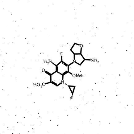 COc1c(N2CC(N)C3OCCC32)c(F)c(N)c2c(=O)c(C(=O)O)cn([C@@H]3C[C@@H]3F)c12